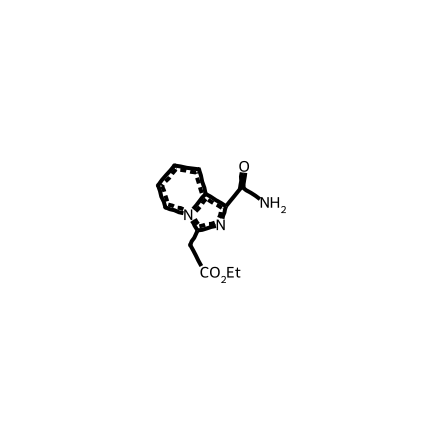 CCOC(=O)Cc1nc(C(N)=O)c2ccccn12